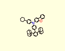 c1cc(C23CC4CC(CC(C4)C2)C3)c(-c2ccc(N(c3ccc(C4CCCCC4)cc3)c3ccc4c(c3)oc3ccccc34)cc2)c(C23CC4CC(CC(C4)C2)C3)c1